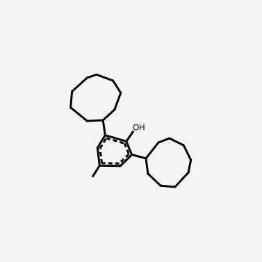 Cc1cc(C2CCCCCCCC2)c(O)c(C2CCCCCCCC2)c1